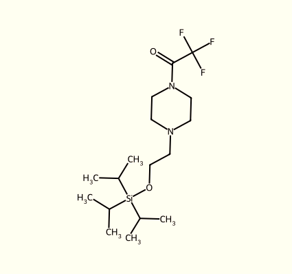 CC(C)[Si](OCCN1CCN(C(=O)C(F)(F)F)CC1)(C(C)C)C(C)C